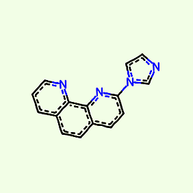 c1cnc2c(c1)ccc1ccc(-n3ccnc3)nc12